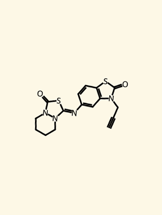 C#CCn1c(=O)sc2ccc(N=c3sc(=O)n4n3CCCC4)cc21